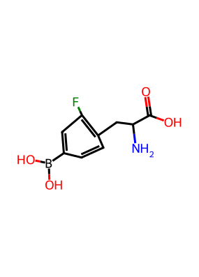 NC(Cc1ccc(B(O)O)cc1F)C(=O)O